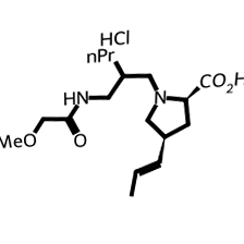 CC=C[C@@H]1C[C@H](C(=O)O)N(CC(CCC)CNC(=O)COC)C1.Cl